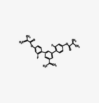 C=C(C)C(=O)Oc1ccc(-c2cc(C(=C)C)cc(-c3ccc(OC(=O)C(=C)C)cc3F)c2)c(F)c1